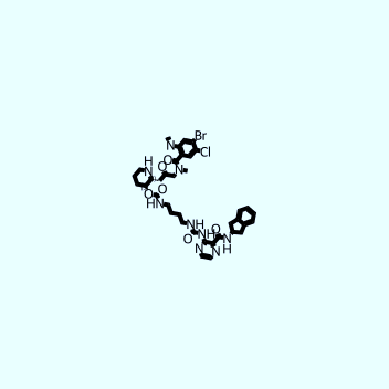 C=Nc1cc(Br)c(Cl)cc1C(=O)N(C)CC(=O)C[C@H]1NCCC[C@@H]1OC(=O)NCCCCNC(=O)Nc1nccnc1C(=O)NC1Cc2ccccc2C1